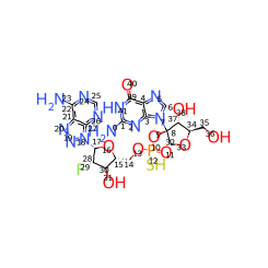 Nc1nc2c(ncn2[C@@]2(OP(=O)(S)OC[C@H]3O[C@@H](n4nnc5c(N)ncnc54)[C@@H](F)[C@@H]3O)CO[C@H](CO)[C@H]2O)c(=O)[nH]1